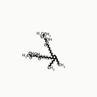 C=C(C)C(=O)OCC(O)COC(=O)CCCCCCCCC1CCC(CCCCC)C(CCCCCCC)C1CCCCCCCCC(=O)OCC(O)COC(=O)C(=C)C